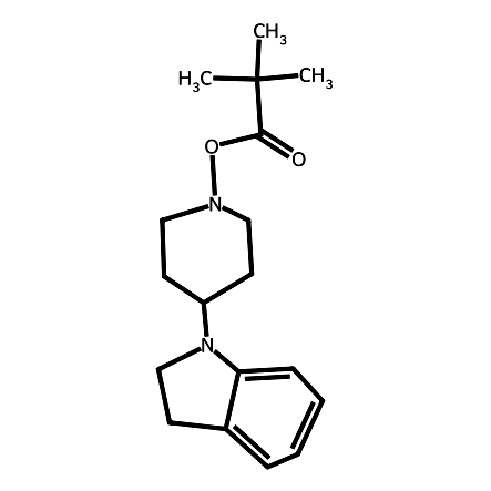 CC(C)(C)C(=O)ON1CCC(N2CCc3ccccc32)CC1